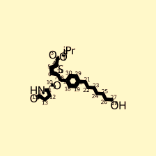 CC(C)OC(=O)c1ccc(C(OC[C@@H]2CCC(=O)N2)c2ccc(CCCCCCCO)cc2)s1